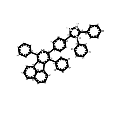 c1ccc(-c2nc(-c3ccc(-c4nnc(-c5ccccc5)n4-c4ccccc4)cc3)c(-c3ccccc3)c3c2-c2cccc4cccc-3c24)cc1